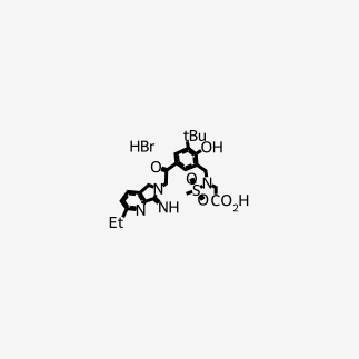 Br.CCc1ccc2c(n1)C(=N)N(CC(=O)c1cc(CN(CC(=O)O)S(C)(=O)=O)c(O)c(C(C)(C)C)c1)C2